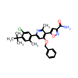 Cc1cc(C(C)(C)C)c(Cl)cc1-c1cc(OCc2ccccc2)c(-c2cc(C(N)=O)no2)c(C)n1